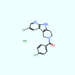 Cl.O=C(c1ccc(Cl)cc1)N1CCc2[nH]c3ncc(Cl)cc3c2C1